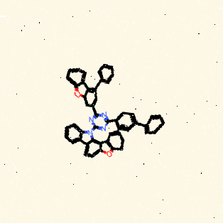 C1=Cc2c(oc3ccc4c5ccccc5n(-c5nc(-c6ccc(-c7ccccc7)cc6)nc(-c6cc(-c7ccccc7)c7c(c6)oc6ccccc67)n5)c4c23)CC1